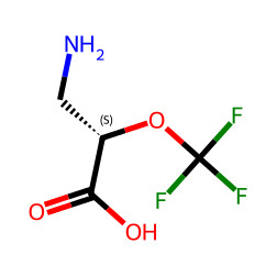 NC[C@H](OC(F)(F)F)C(=O)O